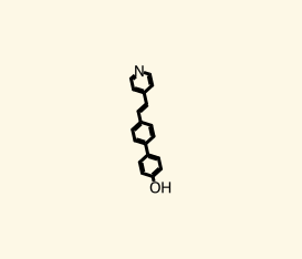 Oc1ccc(-c2ccc(C=Cc3ccncc3)cc2)cc1